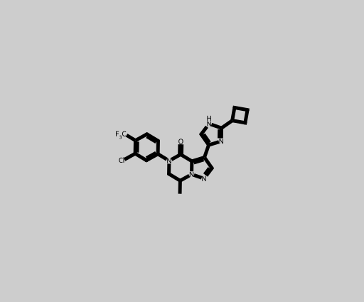 CC1CN(c2ccc(C(F)(F)F)c(Cl)c2)C(=O)c2c(-c3c[nH]c(C4CCC4)n3)cnn21